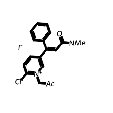 CNC(=O)/C=C(\c1ccccc1)c1ccc(Cl)[n+](CC(C)=O)c1.[I-]